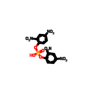 O=[N+]([O-])c1ccc(OP(=O)(O)Oc2ccc([N+](=O)[O-])cc2[N+](=O)[O-])c([N+](=O)[O-])c1